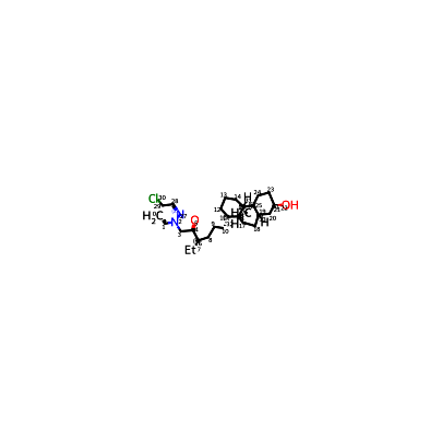 C=CN(CC(=O)[C@H](CC)CCC[C@@H]1CCC[C@H]2[C@H]1CC[C@H]1C[C@H](O)CC[C@@]12C)/N=C\CCl